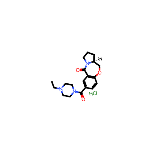 CCN1CCN(C(=O)c2ccc3c(c2)C(=O)N2CCC[C@H]2CO3)CC1.Cl